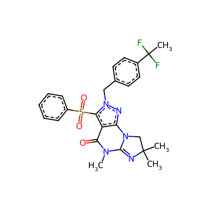 CN1C(=O)c2c(nn(Cc3ccc(C(C)(F)F)cc3)c2S(=O)(=O)c2ccccc2)N2CC(C)(C)N=C12